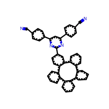 N#Cc1ccc(-c2cc(-c3ccc(C#N)cc3)nc(-c3ccc4c5ccccc5c5ccccc5c5ccccc5c5ccccc5c4c3)n2)cc1